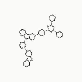 c1ccc(-c2cc(-c3ccccc3)nc(-c3ccc(-c4ccc5c(c4)c4ccccc4n5-c4cccc(-c5ccc6oc7ccccc7c6c5)c4)cc3)n2)cc1